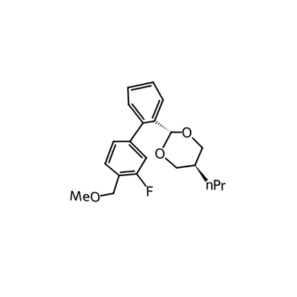 CCC[C@H]1CO[C@H](c2ccccc2-c2ccc(COC)c(F)c2)OC1